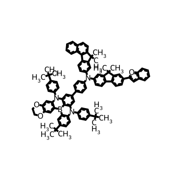 CC(C)(C)c1ccc(N2c3ccc(C(C)(C)C)cc3B3c4cc5c(cc4N(c4ccc(C(C)(C)C)cc4)c4cc(-c6ccc(N(c7ccc8c(c7)C(C)(C)c7cc(-c9cc%10ccccc%10o9)ccc7-8)c7ccc8c(c7)C(C)(C)c7ccc9ccccc9c7-8)cc6)cc2c43)OCCO5)cc1